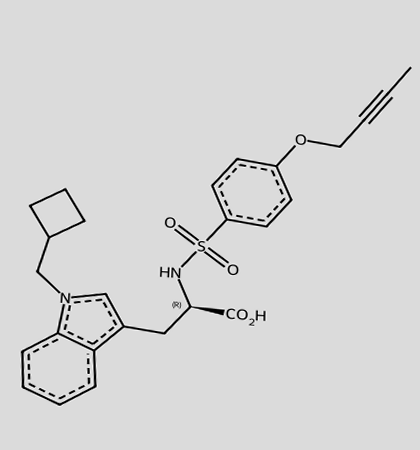 CC#CCOc1ccc(S(=O)(=O)N[C@H](Cc2cn(CC3CCC3)c3ccccc23)C(=O)O)cc1